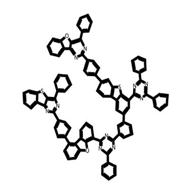 c1ccc(-c2nc(-c3cccc(-c4cc(-c5nc(-c6ccccc6)nc(-c6ccccc6)n5)c5sc6cc(-c7ccc(-c8nc(-c9ccccc9)c9oc%10ccccc%10c9n8)cc7)ccc6c5c4)c3)nc(-c3cccc4c3oc3cccc(-c5ccc(-c6nc(-c7ccccc7)c7sc8ccccc8c7n6)cc5)c34)n2)cc1